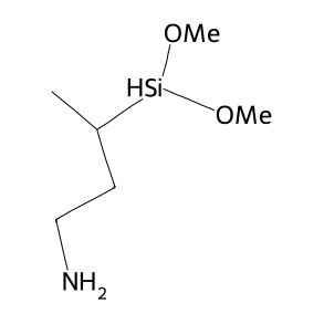 CO[SiH](OC)C(C)CCN